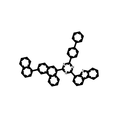 c1ccc(-c2ccc(-c3nc(-c4cc5ccc(-c6cccc7ccccc67)cc5c5ccccc45)nc(-c4cccc5c4sc4ccccc45)n3)cc2)cc1